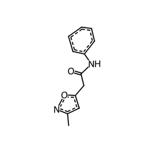 Cc1cc(CC(=O)Nc2ccccc2)on1